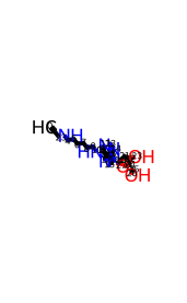 C#CCNCCCCCCNc1ncnc2c1ncn2[C@H]1CC(O)[C@@H](CO)O1